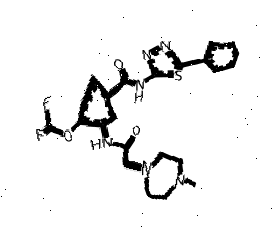 CN1CCN(CC(=O)Nc2cc(C(=O)Nc3nnc(-c4ccccc4)s3)ccc2OC(F)F)CC1